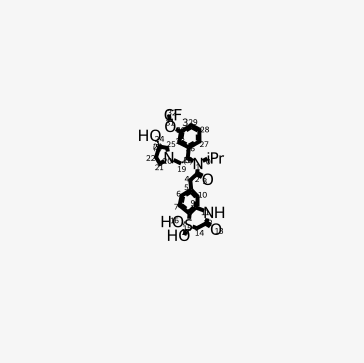 CC(C)N(C(=O)Cc1ccc2c(c1)NC(=O)CS2(O)O)[C@H](CN1CC[C@H](O)C1)c1cccc(OC(F)(F)F)c1